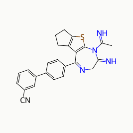 CC(=N)N1C(=N)CN=C(c2ccc(-c3cccc(C#N)c3)cc2)c2c1sc1c2CCC1